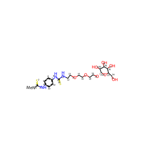 CNC(=S)Nc1ccc(NC(=S)NCCOCCOCCO[C@H]2OC(CO)[C@H](O)C(O)C2O)cc1